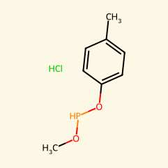 COPOc1ccc(C)cc1.Cl